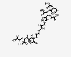 O=C(O)CC[C@H](NC(=O)N[C@@H](CCCCNC(=O)Cn1cc(CN(CC(=O)O)C2CCCCC2N(CC(=O)O)CC(=O)O)nn1)C(=O)O)C(=O)O